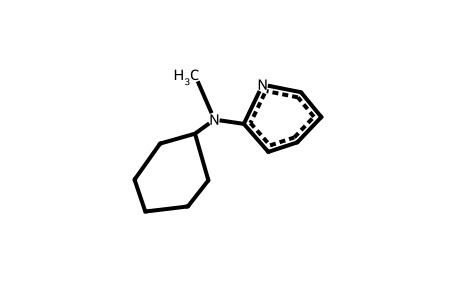 CN(c1ccccn1)C1CCCCC1